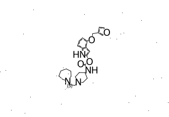 C[C@@H](CN1CCC(NC(=O)Oc2cc3c(OCc4ccoc4)cccc3[nH]2)CC1)N1CCCCCC1